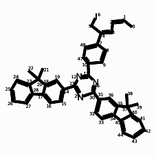 C/C=C\C=C(/CI)c1ccc(-c2nc(-c3ccc4c(c3)C(C)(C)c3ccccc3-4)nc(-c3ccc4c(c3)C(C)(C)c3ccccc3-4)n2)cc1